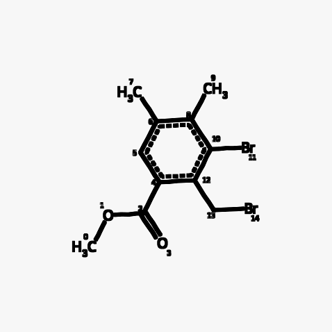 COC(=O)c1cc(C)c(C)c(Br)c1CBr